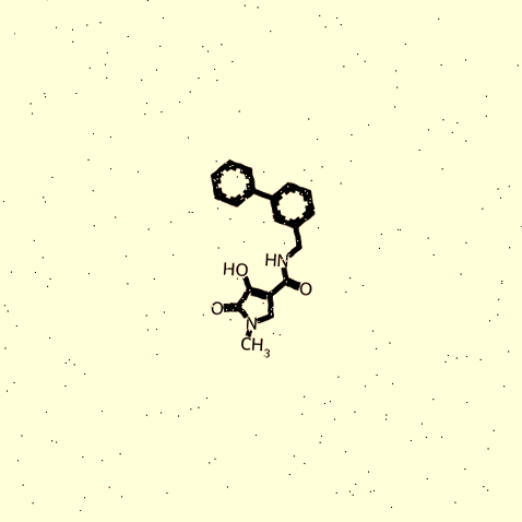 CN1CC(C(=O)NCc2cccc(-c3ccccc3)c2)=C(O)C1=O